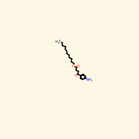 CCCCCCCCCCCCOC(=O)CCC(=O)c1ccc(N)cc1